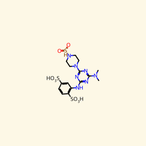 CN(C)c1nc(Nc2cc(S(=O)(=O)O)ccc2S(=O)(=O)O)nc(N2CCN([SH](=O)=O)CC2)n1